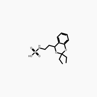 CCC1(CC)Oc2ccccc2C(CCNS(=O)(=O)O)O1